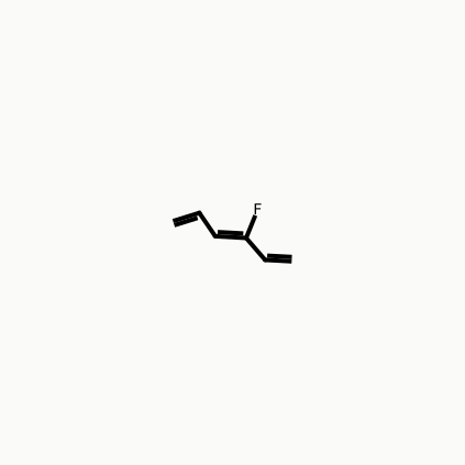 C=CC=C(F)C=C